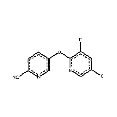 N#Cc1ccc(Oc2ncc(Cl)cc2F)cn1